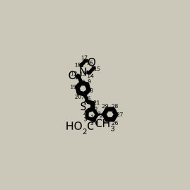 C[C@]1(C(=O)O)Cc2sc(-c3ccc(C(=O)N4CCOCC4)cc3)cc2[C@H]1c1ccccc1